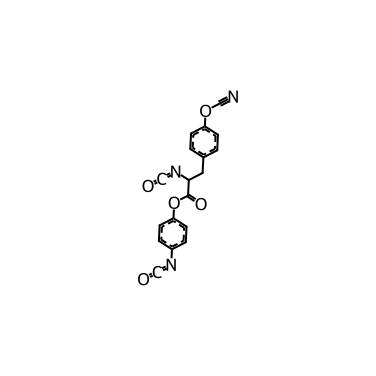 N#COc1ccc(CC(N=C=O)C(=O)Oc2ccc(N=C=O)cc2)cc1